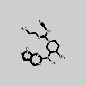 CCCN=C(NC#N)N1CCC(C)C(N(C)c2ncc3cc[nH]c3n2)C1